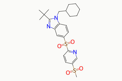 CC(C)(C)c1nc2cc(S(=O)(=O)c3ccc(S(C)(=O)=O)cn3)ccc2n1CC1CCCCC1